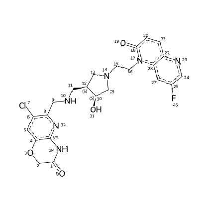 O=C1COc2cc(Cl)c(CNC[C@H]3CN(CCn4c(=O)ccc5ncc(F)cc54)C[C@H]3O)nc2N1